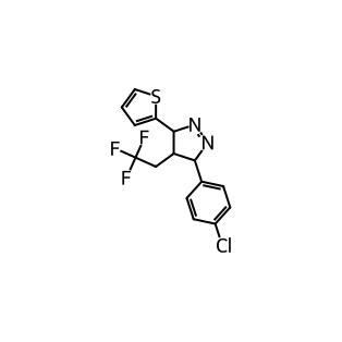 FC(F)(F)CC1C(c2ccc(Cl)cc2)N=NC1c1cccs1